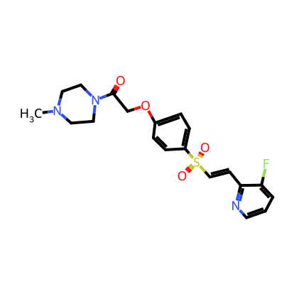 CN1CCN(C(=O)COc2ccc(S(=O)(=O)C=Cc3ncccc3F)cc2)CC1